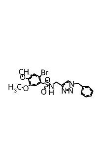 COc1cc(Br)c(S(=O)(=O)NCc2cn(Cc3ccccc3)nn2)cc1OC